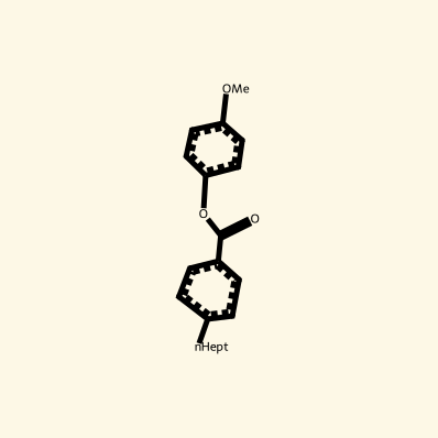 CCCCCCCc1ccc(C(=O)Oc2ccc(OC)cc2)cc1